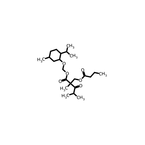 CCCC(=O)OCC(C)(C(=O)OCOC1CC(C)CCC1C(C)C)C(=O)C(C)C